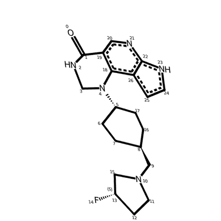 O=C1NCN([C@H]2CC[C@H](CN3CC[C@H](F)C3)CC2)c2c1cnc1[nH]ccc21